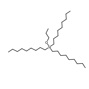 CCCCCCCCC[Si](CCCCCCCCC)(CCCCCCCCC)OCCC